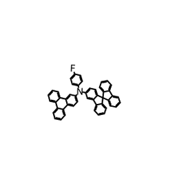 Fc1ccc(N(c2ccc3c(c2)-c2ccccc2C32c3ccccc3-c3ccccc32)c2ccc3c4ccccc4c4ccccc4c3c2)cc1